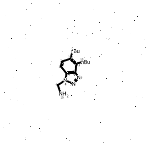 CCCCc1ccc2c(nnn2CN)c1CCCC